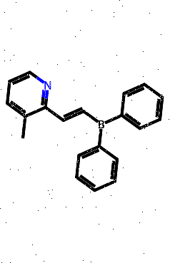 Cc1cccnc1/C=C/B(c1ccccc1)c1ccccc1